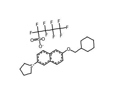 O=S(=O)([O-])C(F)(F)C(F)(F)C(F)(F)C(F)(F)F.c1cc2cc([S+]3CCCC3)ccc2cc1OCC1CCCCC1